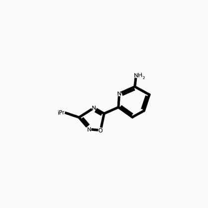 CC(C)c1noc(-c2cccc(N)n2)n1